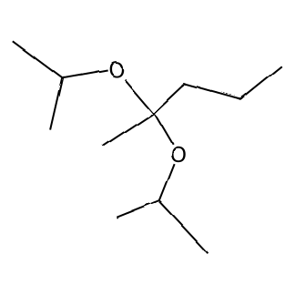 CCCC(C)(OC(C)C)OC(C)C